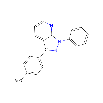 CC(=O)Oc1ccc(-c2nn(-c3ccccc3)c3ncccc23)cc1